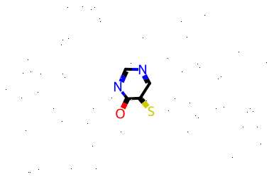 O=C1N=CN=CC1=S